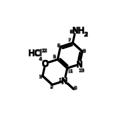 CN1CCOc2cc(N)cnc21.Cl